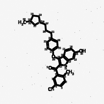 Cc1ccc(Cl)cc1C(=O)c1sc2cc(O)ccc2c1Oc1ccc(CCCN2CC[C@H](C)C2)cc1